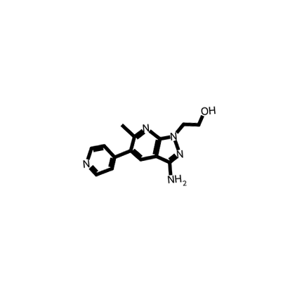 Cc1nc2c(cc1-c1ccncc1)c(N)nn2CCO